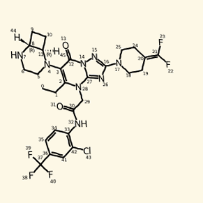 CCc1c(N2CCN[C@@H]3CC[C@H]32)c(=O)n2nc(N3CCC(=C(F)F)CC3)nc2n1CC(=O)Nc1ccc(C(F)(F)F)cc1Cl